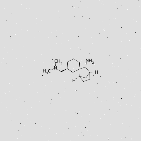 CN(C)C[C@H]1CCC[C@]2(C1)[C@@H]1CC[C@@H](C1)[C@H]2N